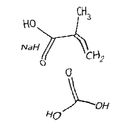 C=C(C)C(=O)O.O=C(O)O.[NaH]